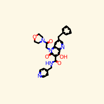 O=C(NCc1ccncc1)c1c(O)c2ncc(Cc3ccccc3)cc2n(CC(=O)N2CCOCC2)c1=O